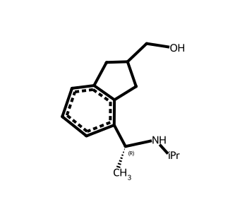 CC(C)N[C@H](C)c1cccc2c1CC(CO)C2